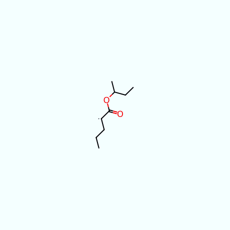 CCC[CH]C(=O)OC(C)CC